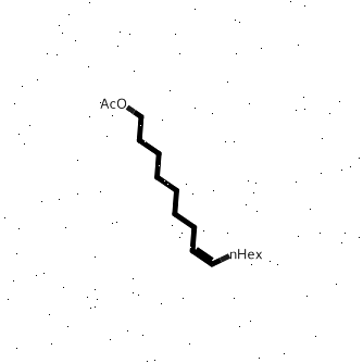 CCCCCC/C=C\CCCCCCCOC(C)=O